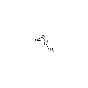 N[SH]1OO1